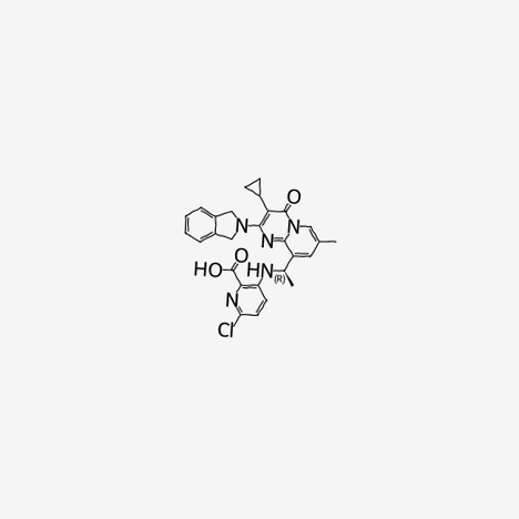 Cc1cc([C@@H](C)Nc2ccc(Cl)nc2C(=O)O)c2nc(N3Cc4ccccc4C3)c(C3CC3)c(=O)n2c1